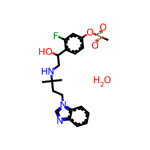 CC(C)(CCn1cnc2ccccc21)NCC(O)c1ccc(OS(C)(=O)=O)cc1F.O